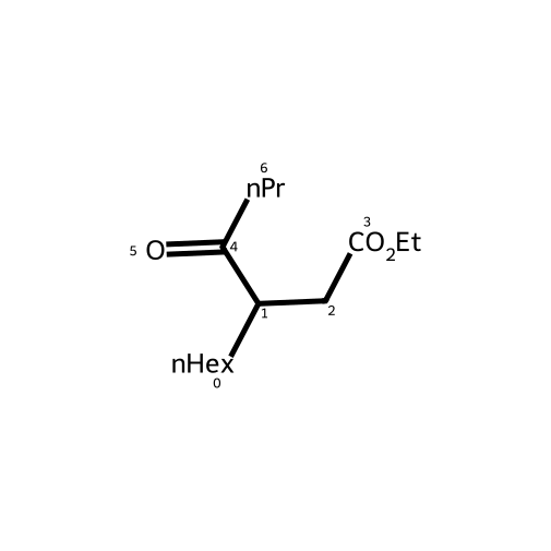 CCCCCCC(CC(=O)OCC)C(=O)CCC